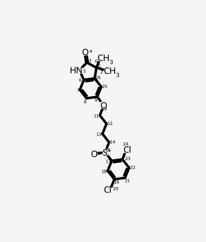 CC1(C)C(=O)Nc2ccc(OCCCC[S+]([O-])c3cc(Cl)ccc3Cl)cc21